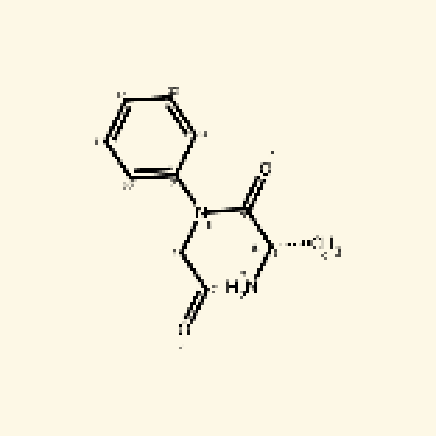 C[C@H](N)C(=O)N(C[C]=O)c1ccccc1